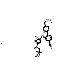 COC(C)(C)CN(C)c1cc(Oc2cc(C#N)ccc2-c2ncc(CN)cn2)n(C)n1